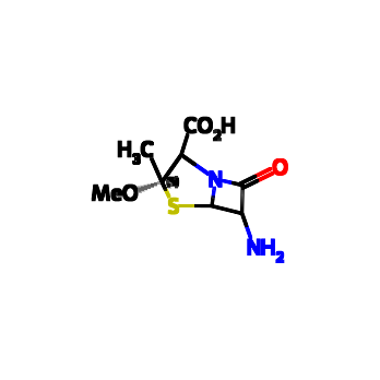 CO[C@@]1(C)SC2C(N)C(=O)N2C1C(=O)O